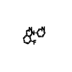 Fc1cccc2cnn(-c3cccnc3)c12